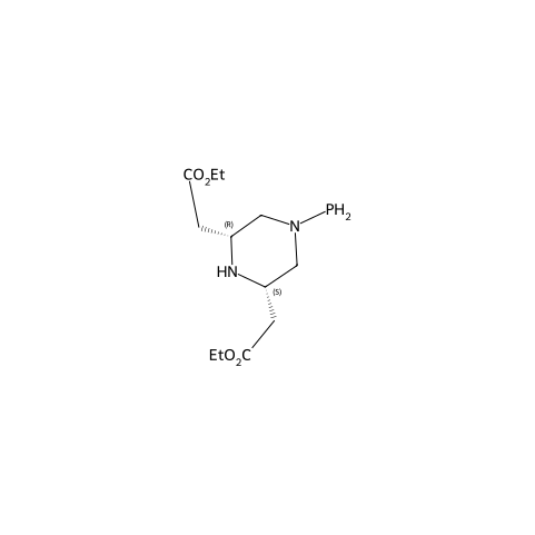 CCOC(=O)C[C@@H]1CN(P)C[C@H](CC(=O)OCC)N1